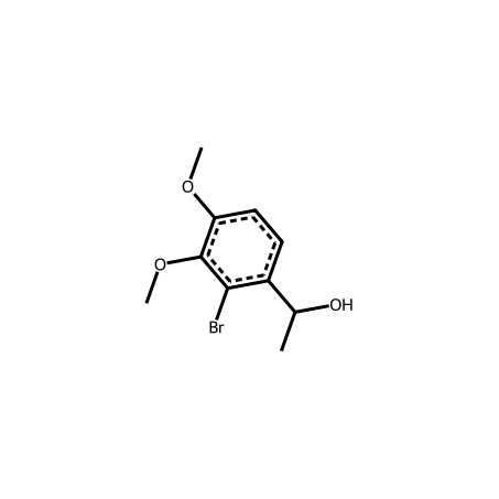 COc1ccc(C(C)O)c(Br)c1OC